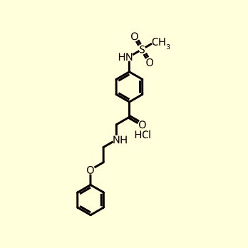 CS(=O)(=O)Nc1ccc(C(=O)CNCCOc2ccccc2)cc1.Cl